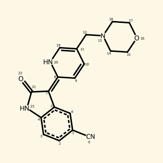 N#Cc1ccc2c(c1)/C(=C1\C=CC(CN3CCOCC3)=CN1)C(=O)N2